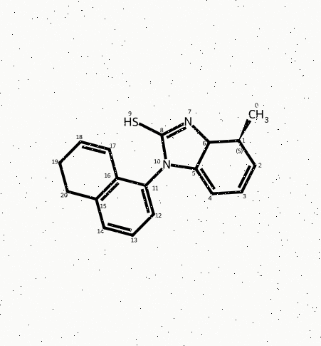 C[C@H]1C=CC=C2C1N=C(S)N2c1cccc2c1C=CCC2